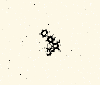 CC/C(=C/c1nc(-c2c(F)cc(N3CCCCC3)cc2F)c(Cl)cc1C)C(C)(C)C